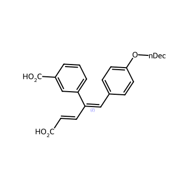 CCCCCCCCCCOc1ccc(/C=C(/C=CC(=O)O)c2cccc(C(=O)O)c2)cc1